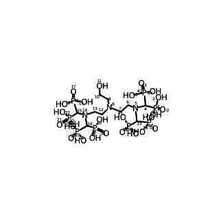 O=P(O)(O)C(N(CCN(CCO)CCN(C(P(=O)(O)O)P(=O)(O)O)C(P(=O)(O)O)P(=O)(O)O)C(P(=O)(O)O)P(=O)(O)O)P(=O)(O)O